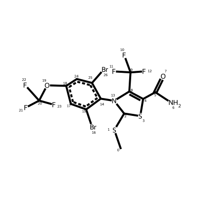 CSC1SC(C(N)=O)=C(C(F)(F)F)N1c1c(Br)cc(OC(F)(F)F)cc1Br